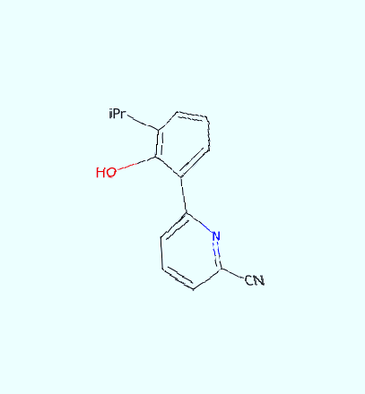 CC(C)c1cccc(-c2cccc(C#N)n2)c1O